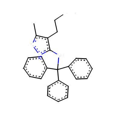 CCOC(=O)CCc1c(C)n[nH]c1NC(c1ccccc1)(c1ccccc1)c1ccccc1